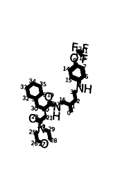 CC(CCNc1ccc(OC(F)(F)F)cc1)CNC(=O)[C@@H](CC(=O)N1CCOCC1)CC1CCCCC1